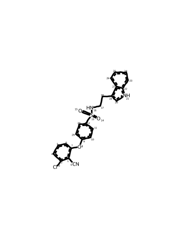 N#Cc1c(Cl)cccc1Oc1ccc(S(=O)(=O)NCCc2c[nH]c3ccccc23)cc1